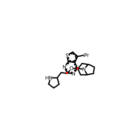 CC(C)c1csc2ncnc(N3C4CCC3CC(OCCC3CCCN3)C4)c12